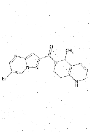 CC1C2=C(CCN1C(=O)c1cc3ncc(Br)cn3n1)NCC=C2